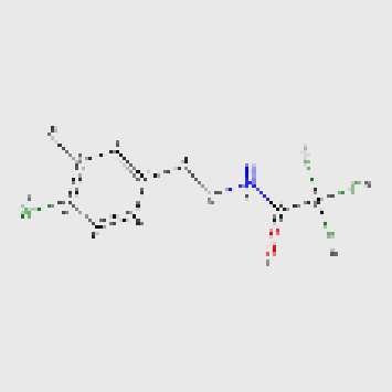 Cc1cc(CCNC(=O)C(F)(F)F)ccc1Br